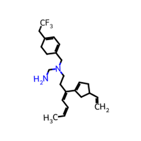 C=CC1CC=C(/C(=C\C=C/C)CCN(CN)CC2=CC=C(CC(F)(F)F)CC2)C1